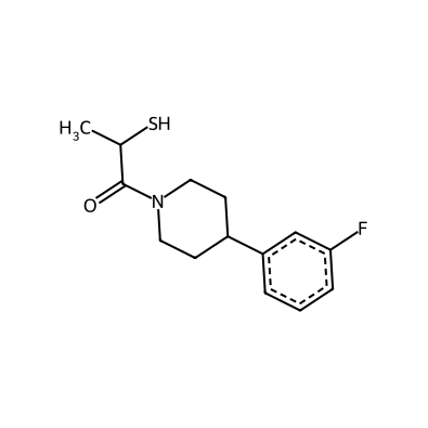 CC(S)C(=O)N1CCC(c2cccc(F)c2)CC1